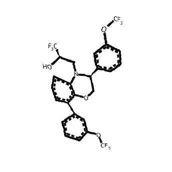 O[C@H](CN1c2cccc(-c3cccc(OC(F)(F)F)c3)c2OC[C@@H]1c1cccc(OC(F)(F)F)c1)C(F)(F)F